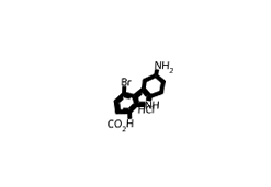 Cl.NC1CCc2[nH]c3c(C(=O)O)ccc(Br)c3c2C1